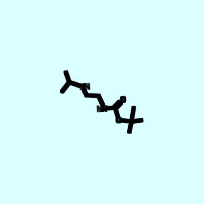 CC(C)NCCNC(=O)OC(C)(C)C